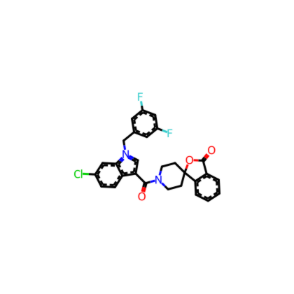 O=C1OC2(CCN(C(=O)c3cn(Cc4cc(F)cc(F)c4)c4cc(Cl)ccc34)CC2)c2ccccc21